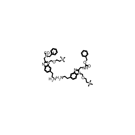 C[Si](C)(C)CCOCn1c(CN(Cc2ccccc2)C(=O)O)nc2ccc(CCN)cc21.C[Si](C)(C)CCOCn1c(CNC(=O)OCc2ccccc2)nc2cc(CCN)ccc21